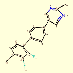 Cc1ncc(-c2ccc(-c3ccc(C)c(F)c3F)cc2)cn1